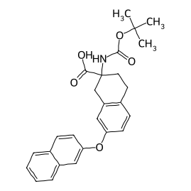 CC(C)(C)OC(=O)NC1(C(=O)O)CCc2ccc(Oc3ccc4ccccc4c3)cc2C1